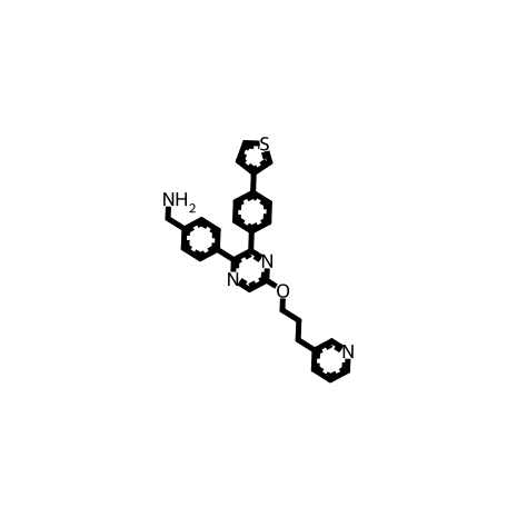 NCc1ccc(-c2ncc(OCCCc3cccnc3)nc2-c2ccc(-c3ccsc3)cc2)cc1